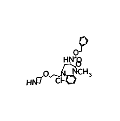 CN1C(=O)[C@@H](NC(=O)OCc2ccccc2)CCN(CCCOC2CNC2)c2c(Cl)cccc21